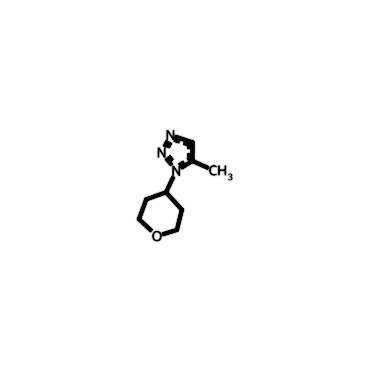 Cc1cnnn1C1CCOCC1